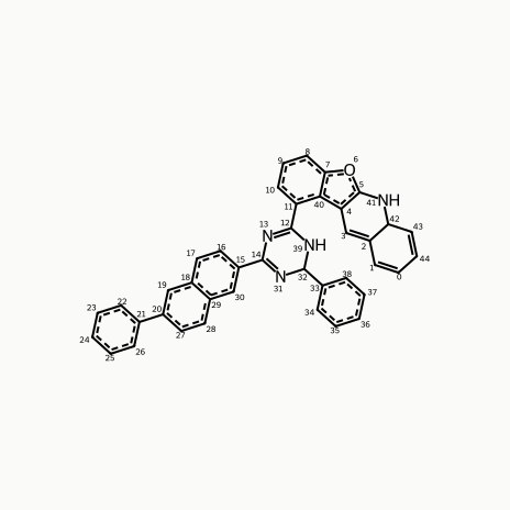 C1=CC2=Cc3c(oc4cccc(C5=NC(c6ccc7cc(-c8ccccc8)ccc7c6)=NC(c6ccccc6)N5)c34)NC2C=C1